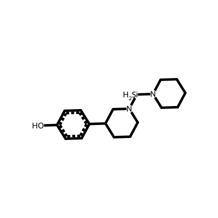 Oc1ccc(C2CCCN([SiH2]N3CCCCC3)C2)cc1